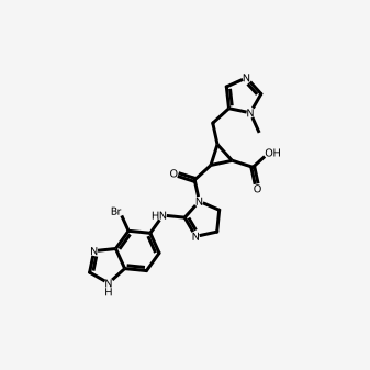 Cn1cncc1CC1C(C(=O)O)C1C(=O)N1CCN=C1Nc1ccc2[nH]cnc2c1Br